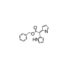 O=C(OCc1ccccc1)/C(=C1\C=CC=N1)c1ccc[nH]1